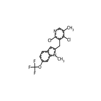 Cc1cnc(Cl)c(Cc2cc3ccc(OC(F)(F)F)cc3n2C)c1Cl